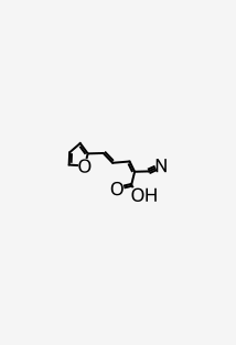 N#CC(=CC=Cc1ccco1)C(=O)O